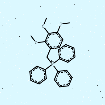 COc1ccc(C[PH](c2ccccc2)(c2ccccc2)c2ccccc2)c(OC)c1OC